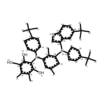 Cc1cc(N(c2ccc(C(C)(C)C)cc2)c2c(O)c(C)c(C)c(O)c2O)c(C)c(N(c2ccc(C(C)(C)C)cc2)c2csc3ccc(C(C)(C)C)cc23)c1